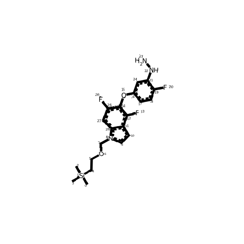 C[Si](C)(C)CCOCn1ccc2c(F)c(Oc3ccc(F)c(NN)c3)c(F)cc21